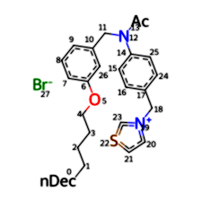 CCCCCCCCCCCCCCOc1cccc(CN(C(C)=O)c2ccc(C[n+]3ccsc3)cc2)c1.[Br-]